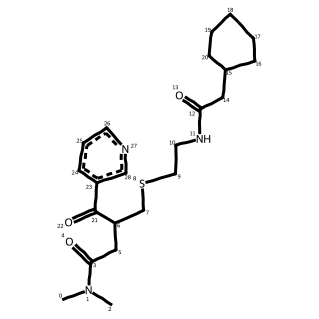 CN(C)C(=O)CC(CSCCNC(=O)CC1CCCCC1)C(=O)c1cccnc1